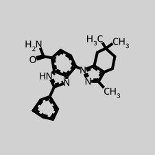 Cc1nn(-c2ccc(C(N)=O)c3[nH]c(-c4ccccc4)nc23)c2c1CCC(C)(C)C2